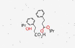 CC(C)O.CC(C)OC(=O)CCc1ccccc1.O=C(O)CCc1ccccc1